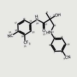 CC(O)(CNc1ccc(C#N)cc1)C(=O)Nc1ccc(C#N)c(C(F)(F)F)c1